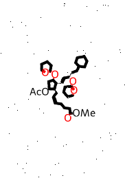 COC(=O)CCC/C=C\C[C@@H]1[C@@H](/C=C/[C@H](CCC2CCCCC2)OC2CCCCO2)[C@H](OC2CCCCO2)C[C@@H]1OC(C)=O